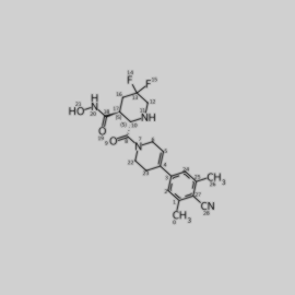 Cc1cc(C2=CCN(C(=O)[C@H]3NCC(F)(F)C[C@@H]3C(=O)NO)CC2)cc(C)c1C#N